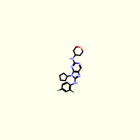 Fc1ccc(Nc2nc3cnc(NC4CCOCC4)nc3n2C2CCCC2)c(F)c1